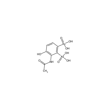 CC(=O)Nc1c(O)ccc([As](=O)(O)O)c1[As](=O)(O)O